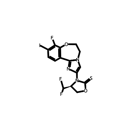 Fc1c(I)ccc2c1OCCn1cc(N3C(=S)OC[C@H]3C(F)F)nc1-2